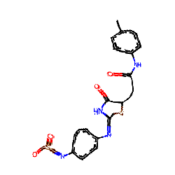 Cc1ccc(NC(=O)CC2SC(=Nc3ccc(N=S(=O)=O)cc3)NC2=O)cc1